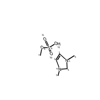 CN1C=CN(C)C1.COS(=O)(=O)O